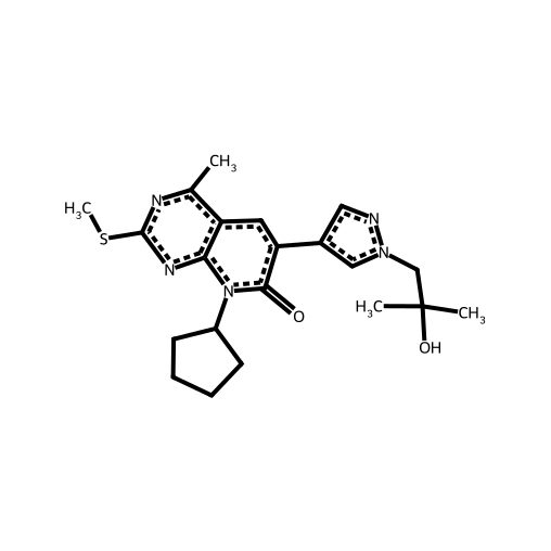 CSc1nc(C)c2cc(-c3cnn(CC(C)(C)O)c3)c(=O)n(C3CCCC3)c2n1